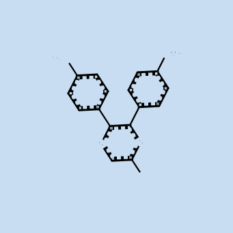 COc1ccc(-c2ncc(C)nc2-c2ccc(OC)cc2)cc1